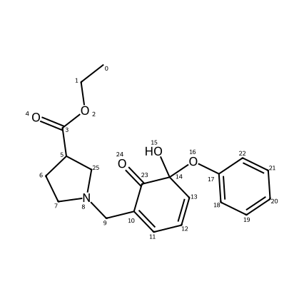 CCOC(=O)C1CCN(CC2=CC=CC(O)(Oc3ccccc3)C2=O)C1